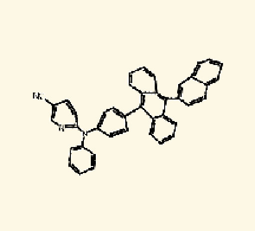 N#Cc1ccc(N(c2ccccc2)c2ccc(-c3c4ccccc4c(-c4ccc5ccccc5c4)c4ccccc34)cc2)nc1